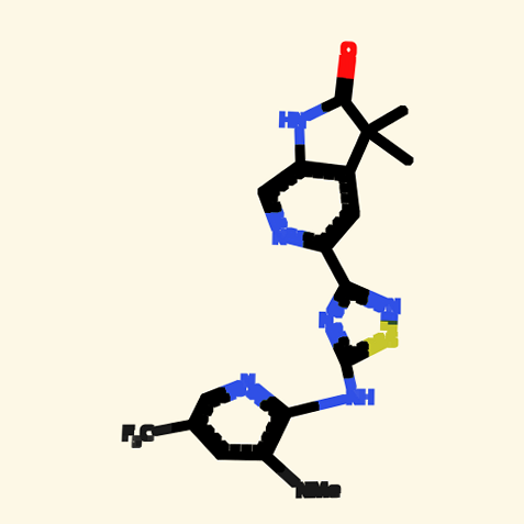 CNc1cc(C(F)(F)F)cnc1Nc1nc(-c2cc3c(cn2)NC(=O)C3(C)C)ns1